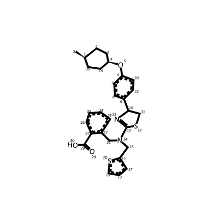 C[C@H]1CC[C@@H](Oc2ccc(C3CSC(N(Cc4cccs4)Cc4ccccc4C(=O)O)=N3)cc2)CC1